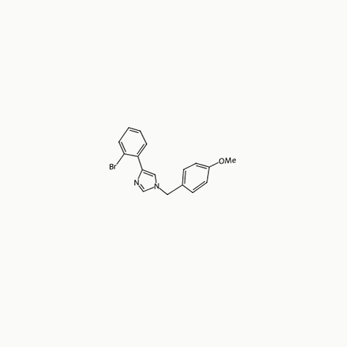 COc1ccc(Cn2cnc(-c3ccccc3Br)c2)cc1